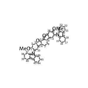 COc1cc2oc3c(ccc4c5cc(-n6c7ccccc7c7ccccc76)c(OC)cc5oc43)c2cc1-n1c2ccccc2c2ccccc21